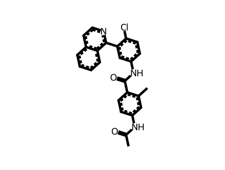 CC(=O)Nc1ccc(C(=O)Nc2ccc(Cl)c(-c3nccc4ccccc34)c2)c(C)c1